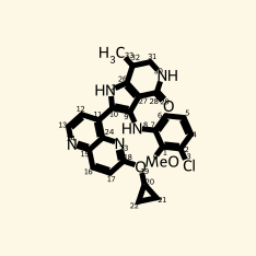 COc1c(Cl)cccc1Nc1c(-c2ccnc3ccc(OC4CC4)nc23)[nH]c2c1C(=O)NCC2C